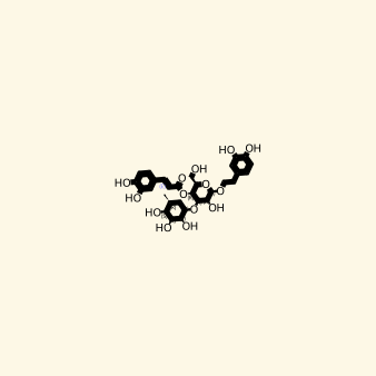 C[C@@H]1C[C@@H](O[C@@H]2[C@@H](O)[C@H](OCCc3ccc(O)c(O)c3)O[C@H](CO)[C@H]2OC(=O)/C=C/c2ccc(O)c(O)c2)[C@H](O)[C@H](O)[C@H]1O